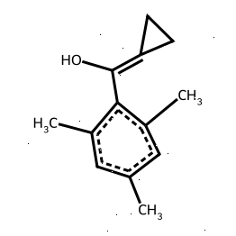 Cc1cc(C)c(C(O)=C2CC2)c(C)c1